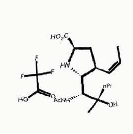 C/C=C\[C@@H]1C[C@H](C(=O)O)N[C@H]1[C@@H](NC(C)=O)[C@@](C)(O)CCC.O=C(O)C(F)(F)F